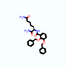 NC(=O)CCCC[C@@H](NC(=O)c1cccc(OCc2ccccc2)c1OCc1ccccc1)C(N)=O